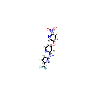 O=[N+]([O-])c1ccc(Oc2ccnc(NC3=NC(C(F)F)C=C3)c2)cn1